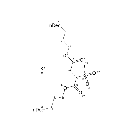 CCCCCCCCCCCCCOC(=O)CC(C(=O)OCCCCCCCCCCCCC)S(=O)(=O)[O-].[K+]